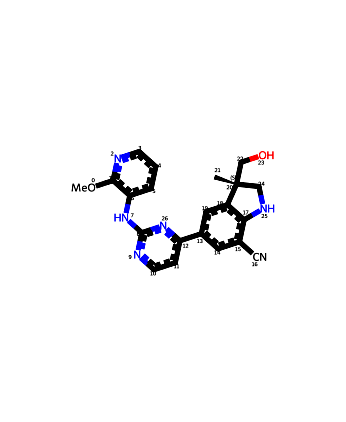 COc1ncccc1Nc1nccc(-c2cc(C#N)c3c(c2)[C@](C)(CO)CN3)n1